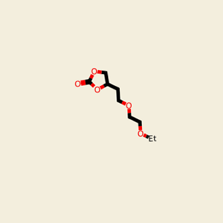 CCOCCOCCC1COC(=O)O1